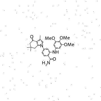 COc1cc(Nc2cc(-n3cc(C)c4c3CC(C)(C)CC4=O)ccc2C(N)=O)cc(OC)c1OC